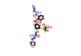 N#CCNC(=O)[C@@H]1CCCC[C@H]1CS(=O)(=O)c1ccc(SCC(=O)NCCN2CCOCC2)cc1.O=C(O)C(F)(F)F